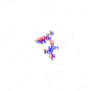 Cc1ncsc1-c1ccc(CNC(=O)[C@@H]2CCCN2C(=O)C(C(C)C)N2Cc3ccccc3C2=O)c(OCCCCOc2ccc(Nc3ncc(Br)c(NCCCN(C)C(=O)C4CCC4)n3)cc2)c1